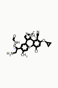 Cc1ccc(-c2cnn(C)c2-c2c(F)c(Cl)cc(OC3CC3)c2C#N)cc1/C(CN)=N\NC=O